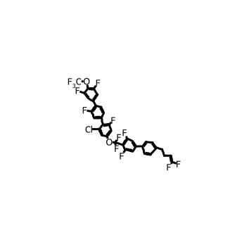 FC(F)=CCCc1ccc(-c2cc(F)c(C(F)(F)Oc3cc(F)c(-c4ccc(-c5cc(F)c(OC(F)(F)F)c(F)c5)c(F)c4)c(Cl)c3)c(F)c2)cc1